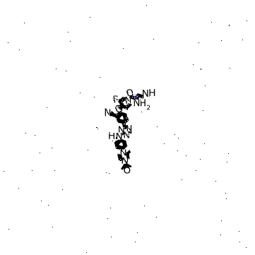 CC1CN(C2COC2)CCN1c1ccc(Nc2ncnc(-c3ccc(OC4CCN(C(=O)/C(N)=C/C=N)CC4F)c(C#N)c3)n2)cc1